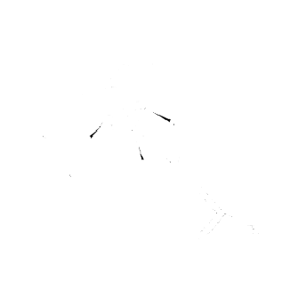 C[C@H]1C[C@H]2O[C@H]1[C@@H](C(=O)Nc1cccc(C(F)(F)F)c1)[C@H]2c1cncnc1